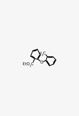 CCOC(=O)c1ccccc1Oc1ccccc1C